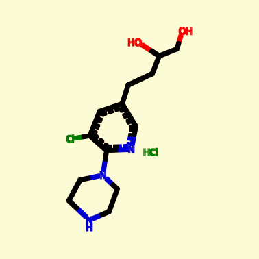 Cl.OCC(O)CCc1cnc(N2CCNCC2)c(Cl)c1